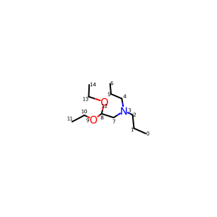 CCCN(CCC)CC(OCC)OCC